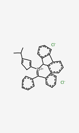 CC(C)C1=CC[C]([Zr+2](=[C](c2ccccc2)c2ccccc2)[CH]2c3ccccc3-c3ccccc32)=C1.[Cl-].[Cl-]